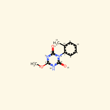 COc1nc(=O)n(-c2ccccc2C)c(=O)[nH]1